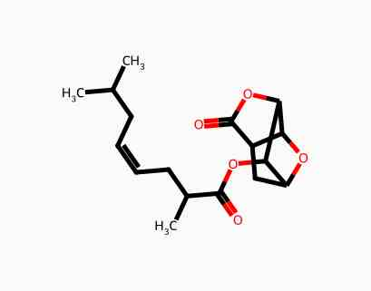 CC(C)C/C=C\CC(C)C(=O)OC1C2CC3C(=O)OC1C3O2